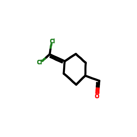 O=CC1CCC(=C(Cl)Cl)CC1